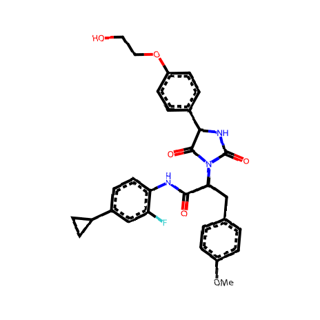 COc1ccc(CC(C(=O)Nc2ccc(C3CC3)cc2F)N2C(=O)NC(c3ccc(OCCO)cc3)C2=O)cc1